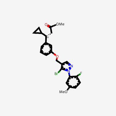 COC(=O)C[C@H](c1cccc(OCc2cnn(-c3cc(OC)ccc3F)c2Br)c1)C1CC1